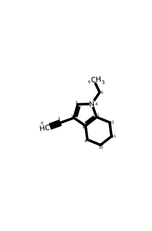 C#Cc1cn(CC)c2c1CCCC2